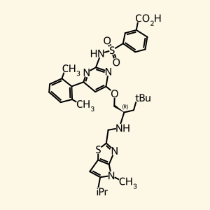 Cc1cccc(C)c1-c1cc(OC[C@@H](CC(C)(C)C)NCc2nc3c(cc(C(C)C)n3C)s2)nc(NS(=O)(=O)c2cccc(C(=O)O)c2)n1